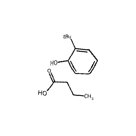 CC(C)(C)c1ccccc1O.CCCC(=O)O